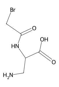 NCC(NC(=O)CBr)C(=O)O